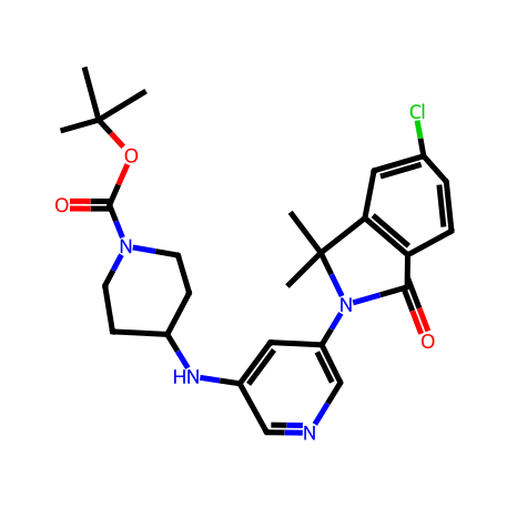 CC(C)(C)OC(=O)N1CCC(Nc2cncc(N3C(=O)c4ccc(Cl)cc4C3(C)C)c2)CC1